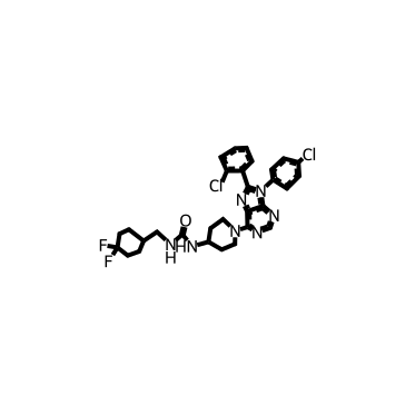 O=C(NCC1CCC(F)(F)CC1)NC1CCN(c2ncnc3c2nc(-c2ccccc2Cl)n3-c2ccc(Cl)cc2)CC1